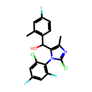 Cc1cc(F)ccc1C(O)c1c(C)nc(Cl)n1-c1c(F)cc(F)cc1Cl